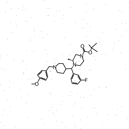 COc1ccc(CN2CCC(C(c3cccc(F)c3)N3CCN(C(=O)OC(C)(C)C)C[C@@H]3C)CC2)cc1